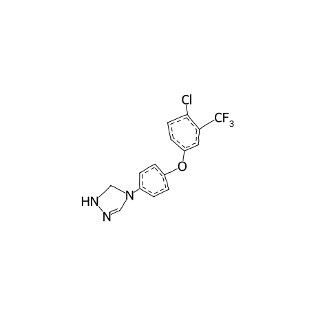 FC(F)(F)c1cc(Oc2ccc(N3C=NNC3)cc2)ccc1Cl